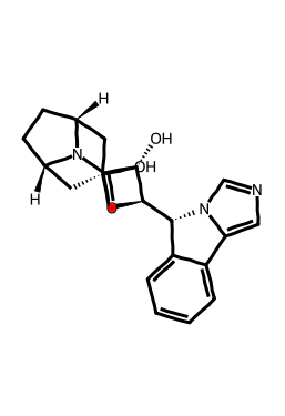 O=C(O)N1[C@@H]2CC[C@H]1C[C@]1(C[C@H]([C@H]3c4ccccc4-c4cncn43)[C@H]1O)C2